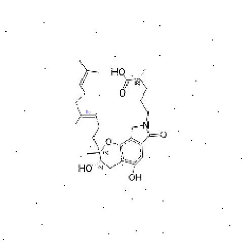 CC(C)=CCC/C(C)=C/CC[C@]1(C)Oc2c(c(O)cc3c2CN(CCC[C@@H](C)C(=O)O)C3=O)C[C@@H]1O